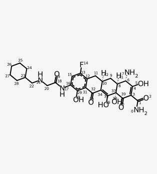 NC(=O)C1=C(O)[C@@H](N)[C@@H]2C[C@@H]3Cc4c(F)cc(NC(=O)CNCC5CCCCC5)c(O)c4C(=O)C3=C(O)[C@]2(O)C1=O